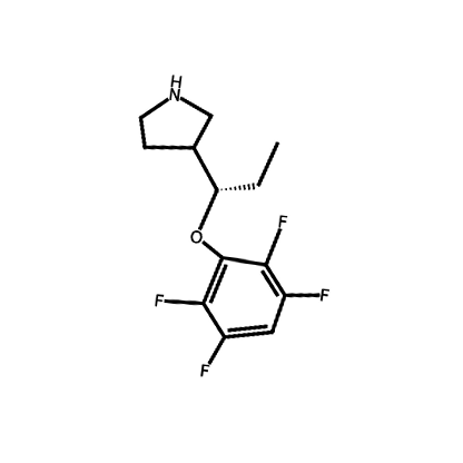 CC[C@H](Oc1c(F)c(F)cc(F)c1F)C1CCNC1